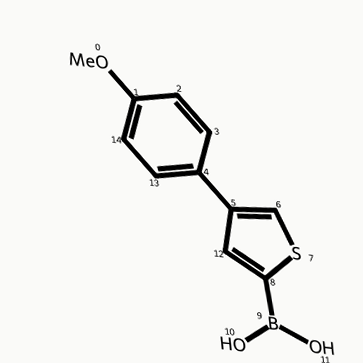 COc1ccc(-c2csc(B(O)O)c2)cc1